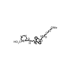 COCCOCCOCCC(=O)NCCC(=O)N1Cc2ccccc2-c2c(nnn2CCCNC(=O)CN2CCN(C)CCN(C)CCN(CC(=O)O)CC2)-c2ccccc21